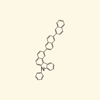 c1ccc(-n2c3ccccc3c3c4cc(-c5ccc6cc(-c7ccc8ccccc8c7)ccc6c5)ccc4ccc32)cc1